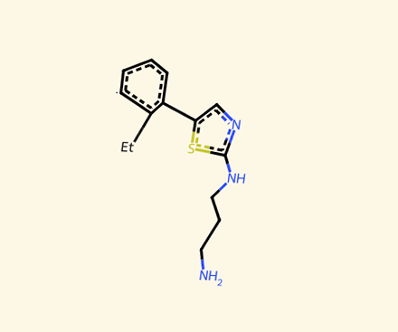 CCc1[c]cccc1-c1cnc(NCCCN)s1